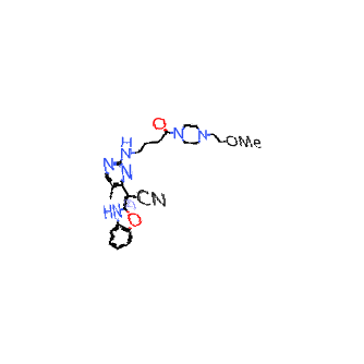 COCCN1CCN(C(=O)CCCNc2ncc(C)c(/C(C#N)=C3\Nc4ccccc4O3)n2)CC1